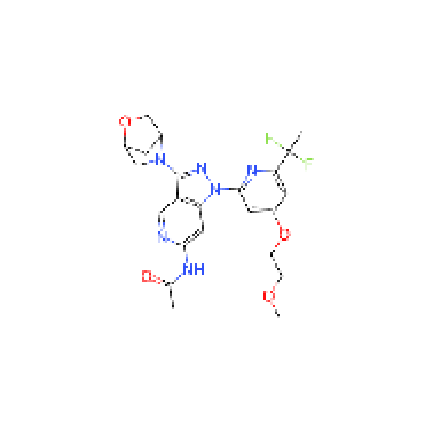 COCCOc1cc(-n2nc(N3CC4CC3CO4)c3cnc(NC(C)=O)cc32)nc(C(C)(F)F)c1